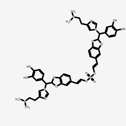 CN(C)CCc1cn(C(c2ccc(O)c(O)c2)C2Oc3ccc(/C=C/OS(=O)(=O)O/C=C/c4ccc5c(c4)OC(C(c4ccc(O)c(O)c4)n4cnc(CCN(C)C)c4)O5)cc3O2)cn1